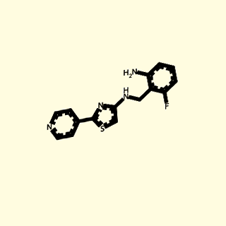 Nc1cccc(F)c1CNc1csc(-c2ccncc2)n1